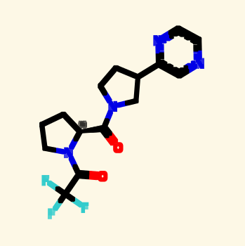 O=C([C@@H]1CCCN1C(=O)C(F)(F)F)N1CCC(c2cnccn2)C1